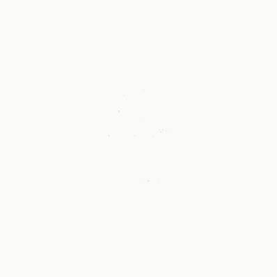 CCCCCCCCCC(=O)C1(OC)CCCC1C